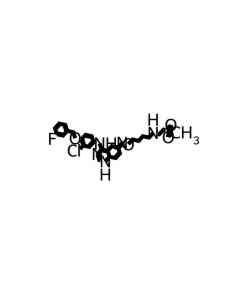 CS(=O)(=O)CCNCCCCON=C1C=CC2NC=NC(Nc3ccc(OCc4cccc(F)c4)c(Cl)c3)=C2C1